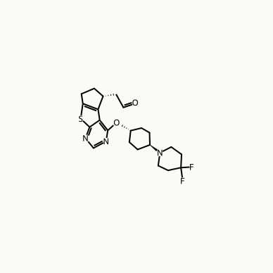 O=CC[C@H]1CCc2sc3ncnc(O[C@H]4CC[C@H](N5CCC(F)(F)CC5)CC4)c3c21